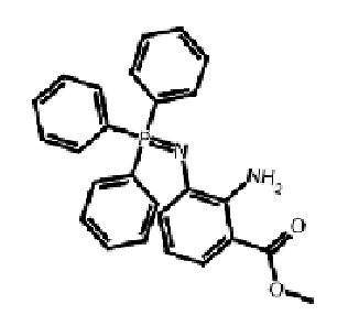 COC(=O)c1cccc(N=P(c2ccccc2)(c2ccccc2)c2ccccc2)c1N